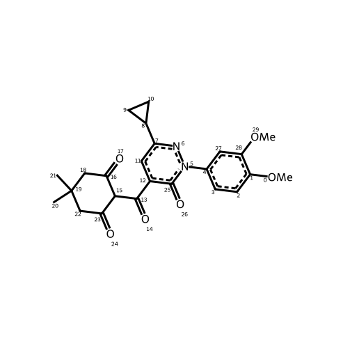 COc1ccc(-n2nc(C3CC3)cc(C(=O)C3C(=O)CC(C)(C)CC3=O)c2=O)cc1OC